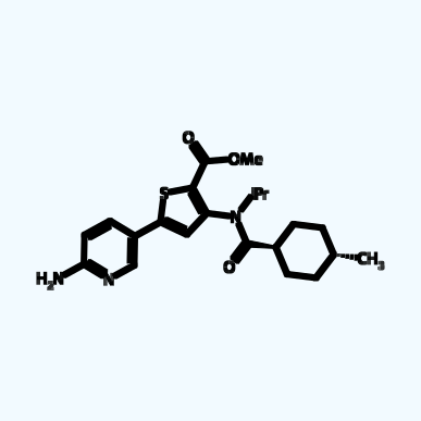 COC(=O)c1sc(-c2ccc(N)nc2)cc1N(C(=O)[C@H]1CC[C@H](C)CC1)C(C)C